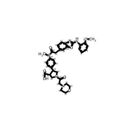 COc1ccccc1Nc1nc2ccc(CC(=O)N(C)c3ccc(C4CN(C(=O)CN5CCOCC5)CC4C(=O)O)cc3)cc2o1